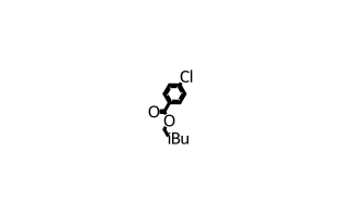 CCC(C)COC(=O)c1ccc(Cl)cc1